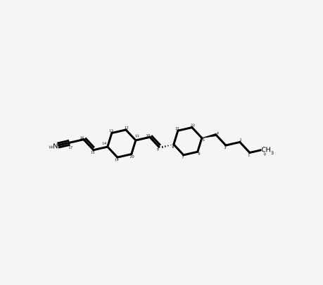 CCCCC[C@H]1CC[C@H](/C=C/C2CCC(C=CC#N)CC2)CC1